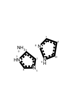 N.c1c[nH]cn1.c1cn[nH]c1